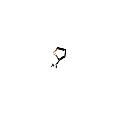 [Ag][c]1cccs1